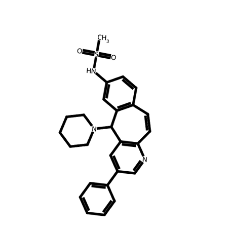 CS(=O)(=O)Nc1ccc2c(c1)C(N1CCCCC1)c1cc(-c3ccccc3)cnc1C=C2